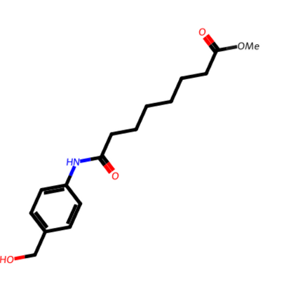 COC(=O)CCCCCCC(=O)Nc1ccc(CO)cc1